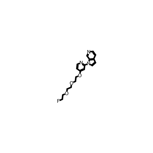 FCCOCCOCCOc1ccnc(-n2ccc3ccncc32)c1